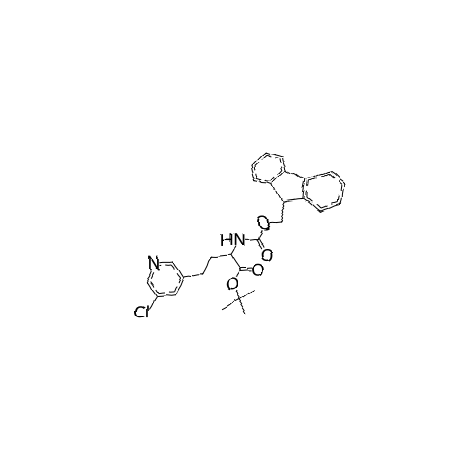 CC(C)(C)OC(=O)C(CCc1cncc(Cl)c1)NC(=O)OCC1c2ccccc2-c2ccccc21